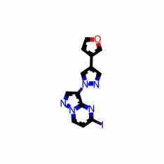 Ic1ccn2ncc(-n3cc(-c4ccoc4)cn3)c2n1